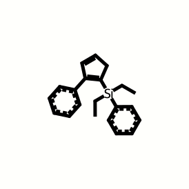 CC[Si](CC)(C1=C(c2ccccc2)C=CC1)c1ccccc1